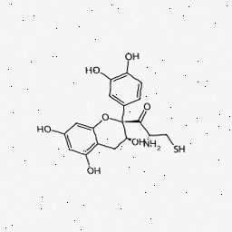 N[C@@H](CS)C(=O)[C@]1(c2ccc(O)c(O)c2)Oc2cc(O)cc(O)c2C[C@@H]1O